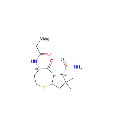 CNCC(=O)N[C@H]1CCSC2CC(C)(C)[C@@H](C(N)=O)C2C1=O